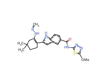 C=NNC1=C(c2cc3cc(C(=O)Nc4nnc(OC)s4)ccc3[nH]2)CCC(C)(C)C1